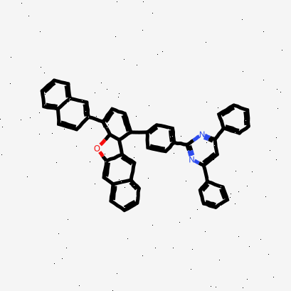 C1=C(c2ccc3ccccc3c2)C2Oc3cc4ccccc4cc3C2C(c2ccc(-c3nc(-c4ccccc4)cc(-c4ccccc4)n3)cc2)=C1